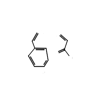 C=CC(=O)O.C=Cc1ccccc1.[Zn]